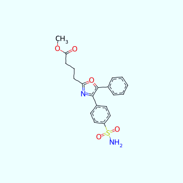 COC(=O)CCCc1nc(-c2ccc(S(N)(=O)=O)cc2)c(-c2ccccc2)o1